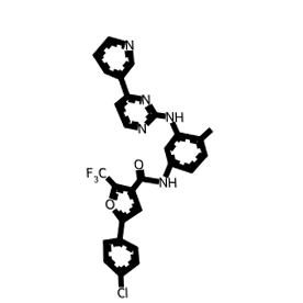 Cc1ccc(NC(=O)c2cc(-c3ccc(Cl)cc3)oc2C(F)(F)F)cc1Nc1nccc(-c2cccnc2)n1